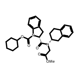 COC(=O)CN(C(=O)[C@H]1Cc2ccccc2N1C(=O)OC1CCCCC1)[C@@H]1CCc2ccccc2C1